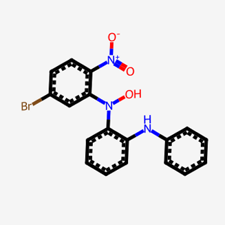 O=[N+]([O-])c1ccc(Br)cc1N(O)c1ccccc1Nc1ccccc1